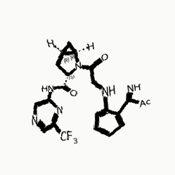 CC(=O)C(=N)c1ccccc1NCC(=O)N1[C@@H]2C[C@@H]2C[C@H]1C(=O)Nc1cncc(C(F)(F)F)n1